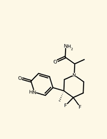 CC(C(N)=O)N1CCC(F)(F)[C@@](C)(c2ccc(=O)[nH]c2)C1